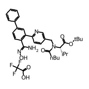 CCCCC(=O)N(Cc1ccc(-c2cc(-c3ccccc3)ccc2/C(N)=N/O)nc1)[C@H](C(=O)OC(C)(C)C)C(C)C.O=C(O)C(F)(F)F